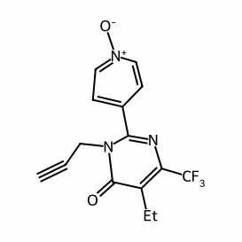 C#CCn1c(-c2cc[n+]([O-])cc2)nc(C(F)(F)F)c(CC)c1=O